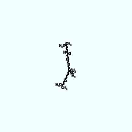 CSC(C)(CCCCCOCCC(C)C)CCCOCCOCCC(=O)NC/C=C/C(C)C